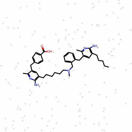 CCCCCc1cc(Cc2ccccc2CN(C)CCCCCCc2cc(Cc3ccc(C(=O)O)cc3)c(C)nc2N)c(C)nc1N